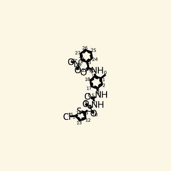 Cc1cc(NC(=O)NS(=O)(=O)c2ccc(Cl)s2)ccc1NC(=O)c1ccccc1[N+](=O)[O-]